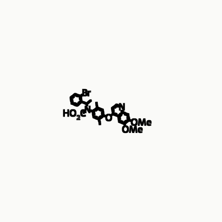 COc1cc2nccc(Oc3cc(C)c(N(C(=O)O)C(C)c4ccccc4Br)cc3C)c2cc1OC